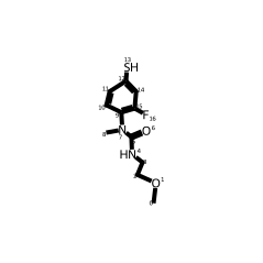 COCCNC(=O)N(C)c1ccc(S)cc1F